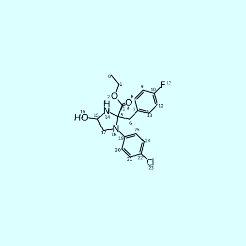 CCOC(=O)C1(Cc2ccc(F)cc2)NC(O)CN1c1ccc(Cl)cc1